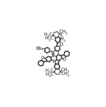 CC(C)(C)c1ccc(N2B3c4cc5oc6ccccc6c5cc4-n4c5cc6c(cc5c5c7oc8ccccc8c7c(c3c54)-c3cc4oc5cc7c(cc5c4cc32)C(C)(C)CCC7(C)C)C(C)(C)CCC6(C)C)cc1